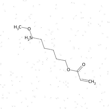 C=CC(=O)OCCCCC[SiH2]OC